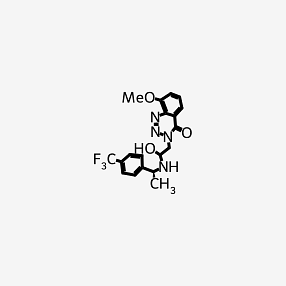 COc1cccc2c(=O)n(CC(O)N[C@@H](C)c3ccc(C(F)(F)F)cc3)nnc12